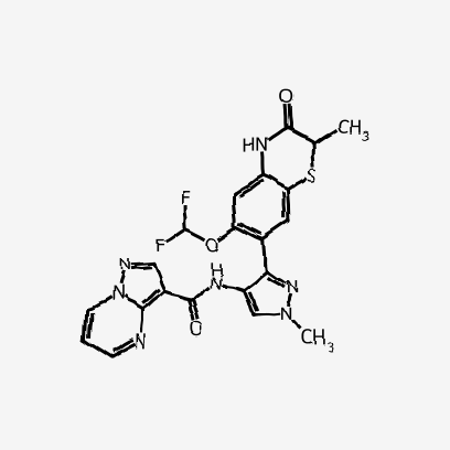 CC1Sc2cc(-c3nn(C)cc3NC(=O)c3cnn4cccnc34)c(OC(F)F)cc2NC1=O